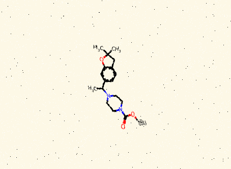 CC(c1ccc2c(c1)OC(C)(C)C2)N1CCN(C(=O)OC(C)(C)C)CC1